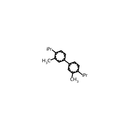 Cc1cc(-c2ccc(C(C)C)c(C)c2)ccc1C(C)C